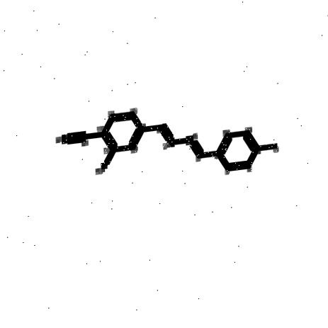 Cc1ccc(C=NN=Cc2ccc(C#N)c(F)c2)cc1